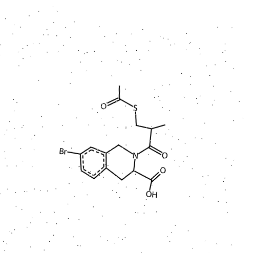 CC(=O)SCC(C)C(=O)N1Cc2cc(Br)ccc2CC1C(=O)O